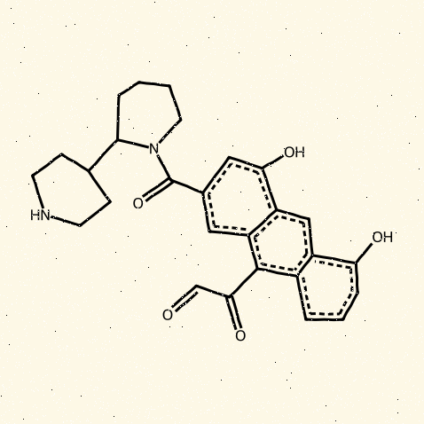 O=CC(=O)c1c2cccc(O)c2cc2c(O)cc(C(=O)N3CCCCC3C3CCNCC3)cc12